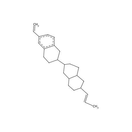 C=Cc1ccc2c(c1)CCC(C1CCC3CC(C=CC)CCC3C1)C2